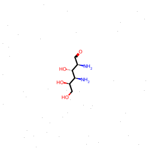 N[C@H]([C@H](O)[C@H](N)C=O)[C@H](O)CO